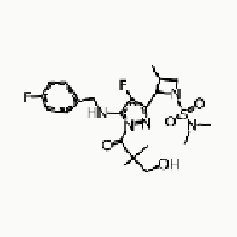 CC1CN(S(=O)(=O)N(C)C)C1c1nn(C(=O)C(C)(C)CO)c(NCc2ccc(F)cc2)c1F